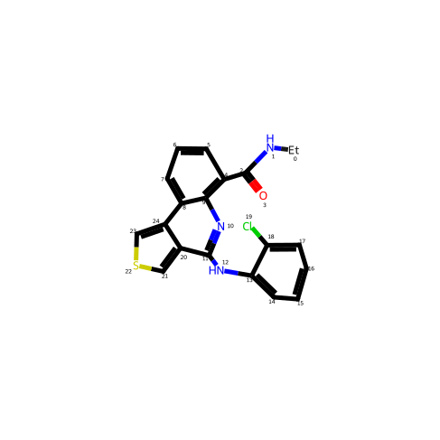 CCNC(=O)c1cccc2c1nc(Nc1ccccc1Cl)c1cscc12